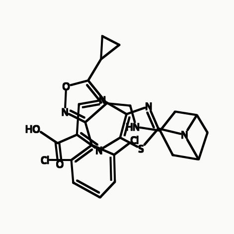 O=C(O)c1cnc2nc(N3C4CC(NCc5c(-c6c(Cl)cccc6Cl)noc5C5CC5)CC3C4)sc2n1